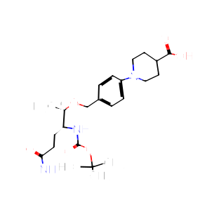 C[C@@H](OCc1ccc(N2CCC(C(=O)O)CC2)cc1)[C@H](CCC(N)=O)NC(=O)OC(C)(C)C